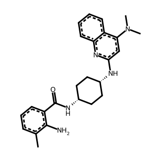 Cc1cccc(C(=O)N[C@H]2CC[C@@H](Nc3cc(N(C)C)c4ccccc4n3)CC2)c1N